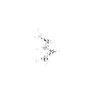 C[C@@H]1CN(CC(=O)N2CC(C)(C)c3[nH]c(=O)c(Cc4ccc(F)cc4)cc32)[C@@H](CN2CCC[C@H](C(CCCCCCCC(N)=O)(C(N)=O)[C@H]3CCCN(C[C@H]4CN[C@H](C)CN4CC(=O)N4CC(C)(C)c5[nH]c(=O)c(Cc6ccc(F)cc6)cc54)C3)C2)CN1